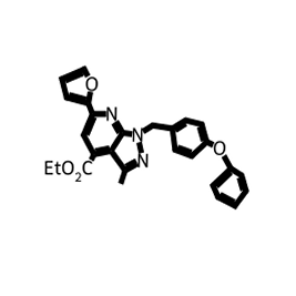 CCOC(=O)c1cc(-c2ccco2)nc2c1c(C)nn2Cc1ccc(Oc2ccccc2)cc1